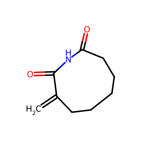 C=C1CCCCCC(=O)NC1=O